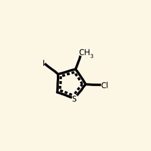 Cc1c(I)csc1Cl